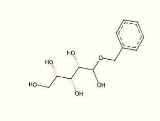 OC[C@H](O)[C@@H](O)[C@H](O)C(O)OCc1ccccc1